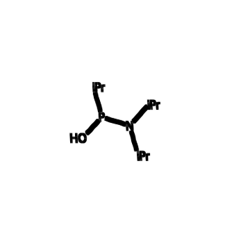 CC(C)N(C(C)C)P(O)C(C)C